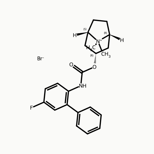 C[N+]1(C)[C@@H]2CC[C@H]1C[C@@H](OC(=O)Nc1ccc(F)cc1-c1ccccc1)C2.[Br-]